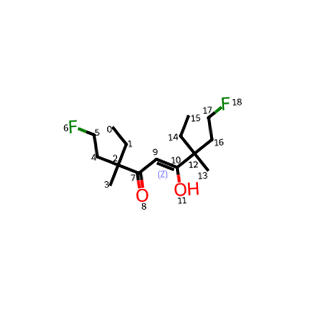 CCC(C)(CCF)C(=O)/C=C(\O)C(C)(CC)CCF